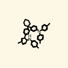 CC1=CC(c2ccc(C3(c4ccc(N(c5ccc(C)cc5)c5ccc(C)cc5)cc4)CCCCC3)cc2)C(Nc2ccc(C)cc2)C=C1